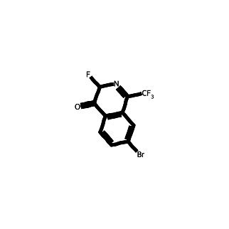 O=C1c2ccc(Br)cc2C(C(F)(F)F)=NC1F